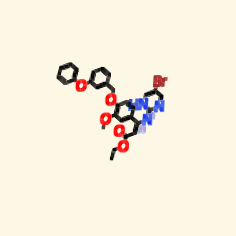 CCOC(=O)/C=C(/N=c1/ncc(Br)c[nH]1)c1ccc(OCc2cccc(Oc3ccccc3)c2)c(OC)c1